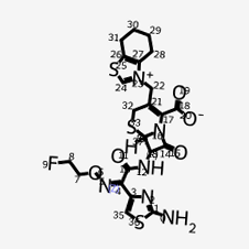 Nc1nc(/C(=N/OCCF)C(=O)N[C@@H]2C(=O)N3C(C(=O)[O-])=C(C[n+]4csc5c4CCCC5)CS[C@@H]23)cs1